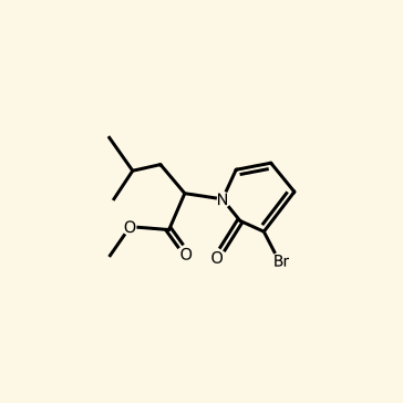 COC(=O)C(CC(C)C)n1cccc(Br)c1=O